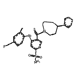 Cc1cc(F)ccc1Nc1cc(S(N)(=O)=O)ncc1C(=O)N1CCC(c2ccccc2)CC1